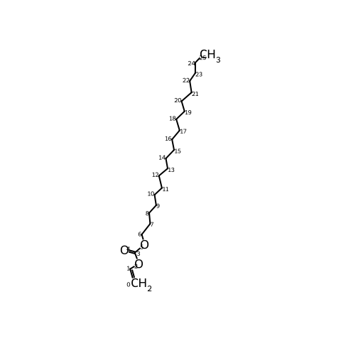 C=COC(=O)OCCCCCCCCCCCCCCCCCCCC